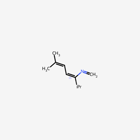 C=N/C(=C\C=C(C)C)C(C)C